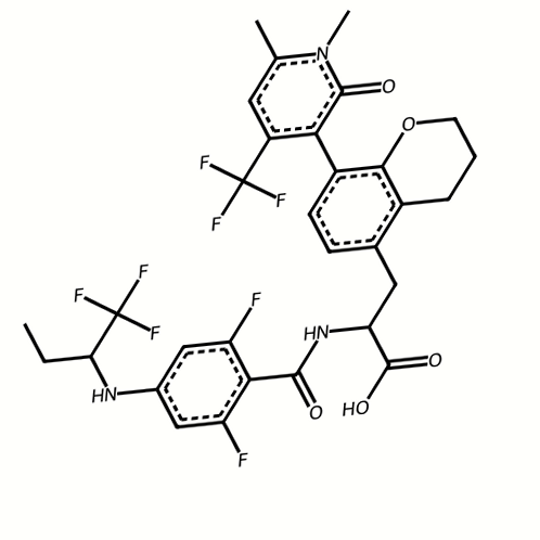 CCC(Nc1cc(F)c(C(=O)NC(Cc2ccc(-c3c(C(F)(F)F)cc(C)n(C)c3=O)c3c2CCCO3)C(=O)O)c(F)c1)C(F)(F)F